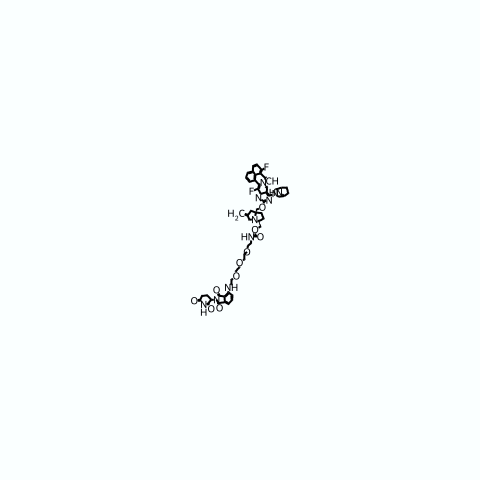 C#Cc1c(F)ccc2cccc(-c3ncc4c(N5CC6CCC(C5)N6)nc(OC[C@@]56CC[C@@H](COC(=O)NCCOCCOCCOCCNc7cccc8c7C(=O)N(C7CCC(=O)NC7=O)C8=O)N5CC(=C)C6)nc4c3F)c12